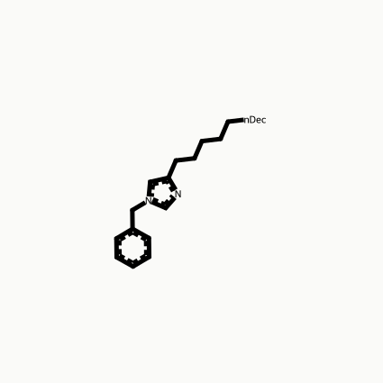 CCCCCCCCCCCCCCCc1cn(Cc2ccccc2)cn1